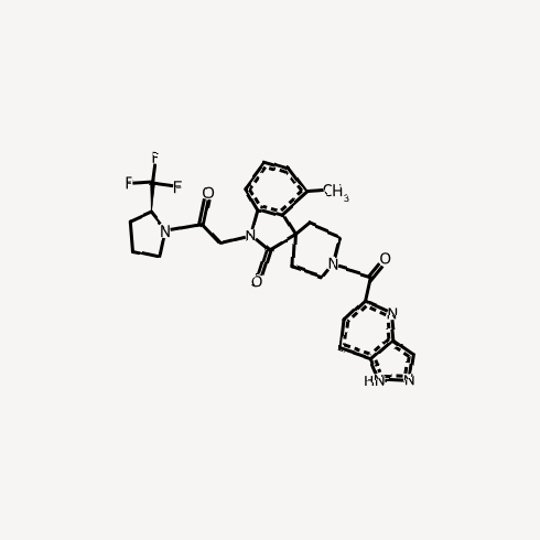 Cc1cccc2c1C1(CCN(C(=O)c3ccc4[nH]ncc4n3)CC1)C(=O)N2CC(=O)N1CCC[C@H]1C(F)(F)F